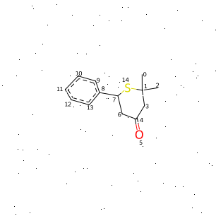 CC1(C)CC(=O)CC(c2ccccc2)S1